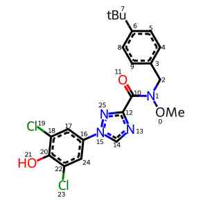 CON(Cc1ccc(C(C)(C)C)cc1)C(=O)c1ncn(-c2cc(Cl)c(O)c(Cl)c2)n1